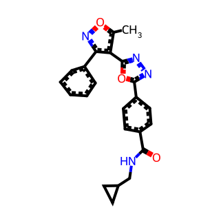 Cc1onc(-c2ccccc2)c1-c1nnc(-c2ccc(C(=O)NCC3CC3)cc2)o1